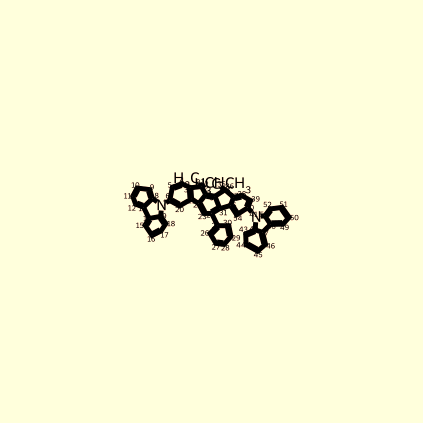 CC1(C)c2ccc(-n3c4ccccc4c4ccccc43)cc2-c2cc(-c3ccccc3)c3c(c21)C(C)(C)c1ccc(-n2c4ccccc4c4ccccc42)cc1-3